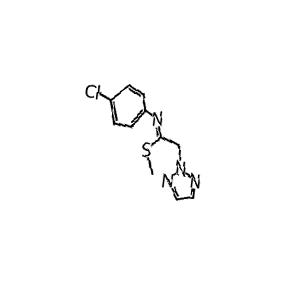 CSC(Cn1nccn1)=Nc1ccc(Cl)cc1